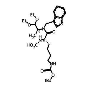 CCOC(OCC)[C@H](C)N(Cc1csc2ccccc12)C(=O)[C@H](CCCCNC(=O)OC(C)(C)C)NC(=O)O